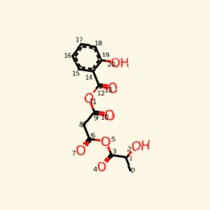 CC(O)C(=O)OC(=O)CC(=O)OC(=O)c1ccccc1O